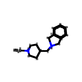 O=C(O)N1CCC(CN2Cc3ccccc3C2)CC1